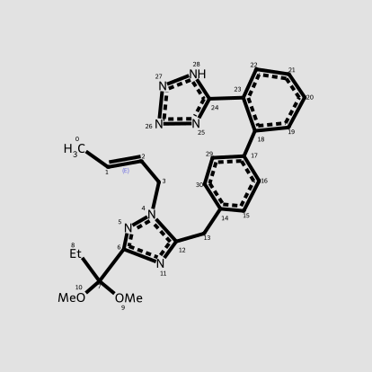 C/C=C/Cn1nc(C(CC)(OC)OC)nc1Cc1ccc(-c2ccccc2-c2nnn[nH]2)cc1